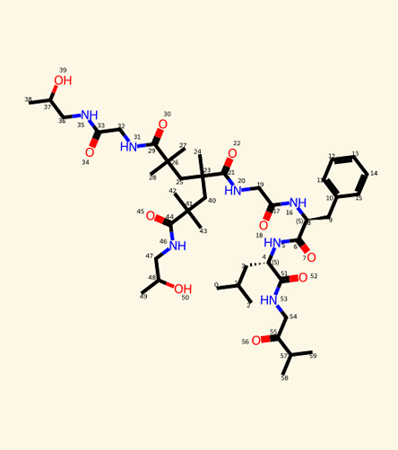 CC(C)C[C@H](NC(=O)[C@H](Cc1ccccc1)NC(=O)CNC(=O)C(C)(CC(C)(C)C(=O)NCC(=O)NCC(C)O)CC(C)(C)C(=O)NCC(C)O)C(=O)NCC(=O)C(C)C